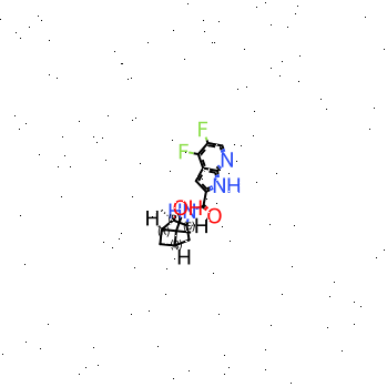 CC1(C)[C@H]2C[C@H](NC(=O)c3cc4c(F)c(F)cnc4[nH]3)[C@](C)(O)[C@@H]1C2